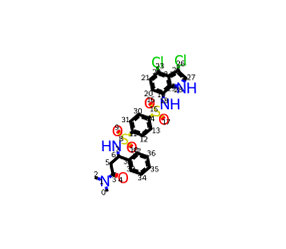 CN(C)C(=O)CC(NS(=O)(=O)c1ccc(S(=O)(=O)Nc2ccc(Cl)c3c(Cl)c[nH]c23)cc1)c1ccccc1